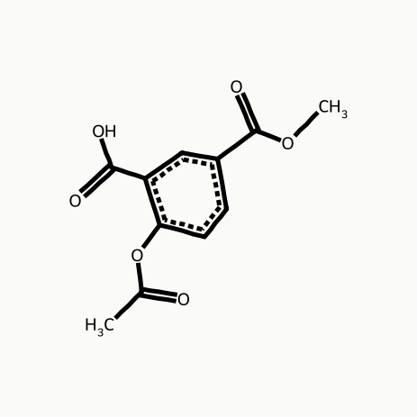 COC(=O)c1ccc(OC(C)=O)c(C(=O)O)c1